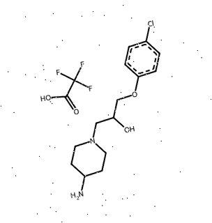 NC1CCN(CC(O)COc2ccc(Cl)cc2)CC1.O=C(O)C(F)(F)F